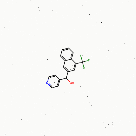 OC(c1ccncc1)c1cc(C(F)(F)F)c2ccccc2c1